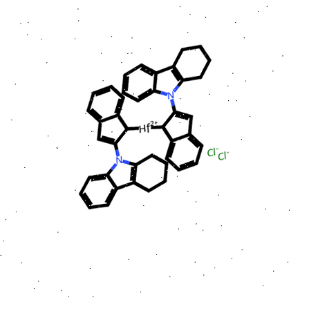 C1=C(n2c3c(c4ccccc42)CCCC3)[CH]([Hf+2][CH]2C(n3c4c(c5ccccc53)CCCC4)=Cc3ccccc32)c2ccccc21.[Cl-].[Cl-]